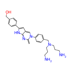 C=C1N=c2[nH]c(-c3ccc(CO)cc3)cc2=CN1c1ccc(CN(CCCN)CCCN)cc1